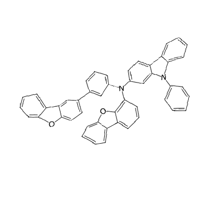 c1ccc(-n2c3ccccc3c3ccc(N(c4cccc(-c5ccc6oc7ccccc7c6c5)c4)c4cccc5c4oc4ccccc45)cc32)cc1